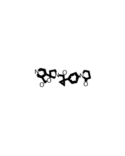 O=C1OC2(CCN(C(=O)C3(c4ccc(N5CCCC5=O)cc4)CC3)C2)c2ccncc21